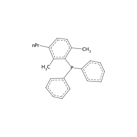 CCCc1ccc(C)c(P(c2ccccc2)c2ccccc2)c1C